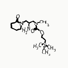 CN(CC(N)CN1CCCCC1=O)C(=O)OCC[Si](C)(C)C